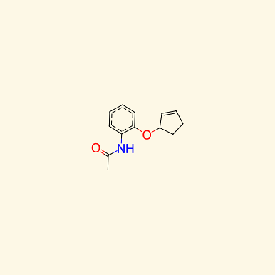 CC(=O)Nc1ccccc1OC1C=CCC1